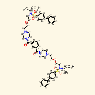 CC(C)[C@H](C(=O)O)N(CCOCCN1CCN(C(=O)c2cccc(C(=O)N3CCN(CCOCCN([C@@H](C(=O)O)C(C)C)S(=O)(=O)c4ccc(-c5ccccc5)cc4)CC3)c2)CC1)S(=O)(=O)c1ccc(-c2ccccc2)cc1